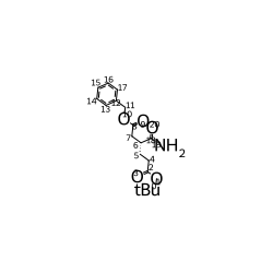 CC(C)(C)OC(=O)CC[C@H](CC(=O)OCc1ccccc1)C(N)=O